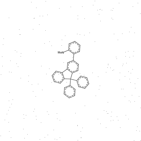 CNc1ccccc1-c1ccc2c(c1)-c1ccccc1C2(c1ccccc1)c1ccccc1